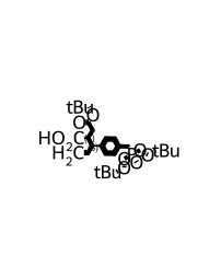 C=C[C@H](c1ccc(CP(=O)(OOC(C)(C)C)OOC(C)(C)C)cc1)[C@H](CC(=O)OC(C)(C)C)C(=O)O